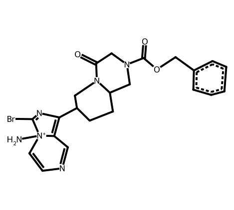 N[N+]12C=CN=CC1=C(C1CCC3CN(C(=O)OCc4ccccc4)CC(=O)N3C1)N=C2Br